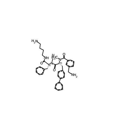 CN(C(=O)c1cccc(CN)c1)[C@H](Cc1ccc(-c2ccccc2)cc1)C(=O)N(C)[C@H](Cc1ccccc1)C(=O)NCCCCN